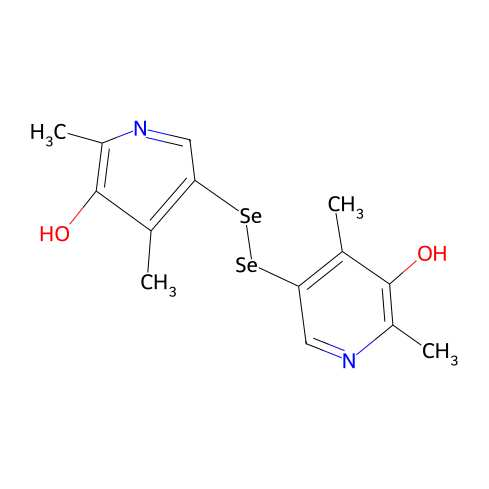 Cc1ncc([Se][Se]c2cnc(C)c(O)c2C)c(C)c1O